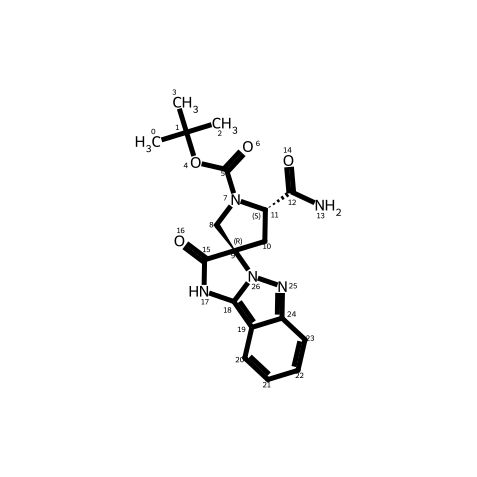 CC(C)(C)OC(=O)N1C[C@]2(C[C@H]1C(N)=O)C(=O)Nc1c3ccccc3nn12